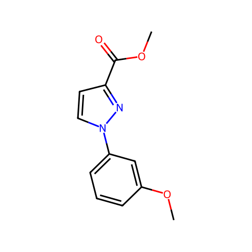 COC(=O)c1ccn(-c2cccc(OC)c2)n1